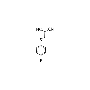 N#CC(C#N)=CSc1ccc(F)cc1